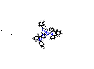 C=C(/N=C(\N=C(/N)N1c2ccccc2-c2ccccc2C2C=CC=CC21)c1ccc2c(c1)c1ccccc1n2-c1ccccc1)c1ccccc1